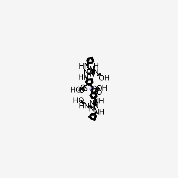 O=S(=O)(O)c1cc(Nc2nc(NCCO)nc(Nc3ccccc3)n2)ccc1/C=C/c1ccc(Nc2nc(NCCO)nc(Nc3ccccc3)n2)cc1SOOO